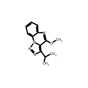 COc1nc2ccccc2n2nnc(C(C)C)c12